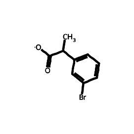 CC(C([O])=O)c1cccc(Br)c1